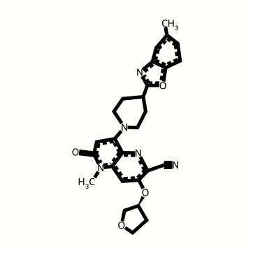 Cc1ccc2oc(C3CCN(c4cc(=O)n(C)c5cc(O[C@H]6CCOC6)c(C#N)nc45)CC3)nc2c1